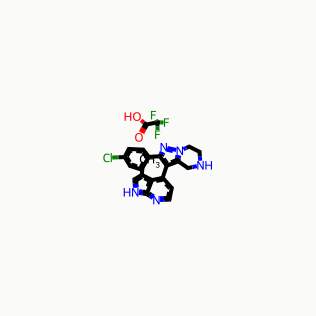 Cc1c[nH]c2nccc(-c3c(-c4ccc(Cl)cc4)nn4c3CNCC4)c12.O=C(O)C(F)(F)F